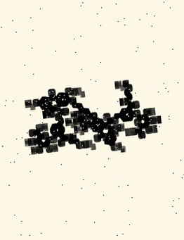 C=C1C[C@H]2C(O)N(C(=O)OCc3ccc(O[C@@H]4O[C@H](C(=O)O)[C@@H](O)[C@H](O)[C@H]4O)c(C(=O)NCCOC)c3)c3cc(OCCC(CCOc4cc5c(cc4OC)C(=O)N4CC(=C)C[C@H]4C(O)N5C(=O)OCc4ccc(O[C@@H]5O[C@H](C(=O)O)[C@@H](O)[C@H](O)[C@H]5O)c(C(=O)NCCOC)c4)NC(C)(C)C)c(OC)cc3C(=O)N2C1